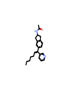 CCCCCC=C(c1cccnc1)c1ccc2c(c1)CC(NC(C)=O)C2